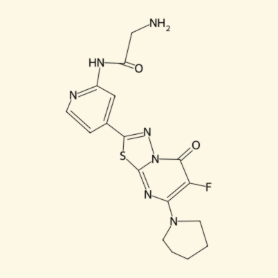 NCC(=O)Nc1cc(-c2nn3c(=O)c(F)c(N4CCCCC4)nc3s2)ccn1